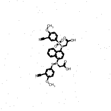 COc1ccc(SN(CC(=O)O)c2ccc(N(CC(=O)O)S(=O)(=O)c3ccc(OC)c(C#N)c3)c3ccccc23)cc1C#N